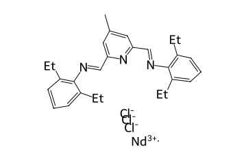 CCc1cccc(CC)c1N=Cc1cc(C)cc(C=Nc2c(CC)cccc2CC)n1.[Cl-].[Cl-].[Cl-].[Nd+3]